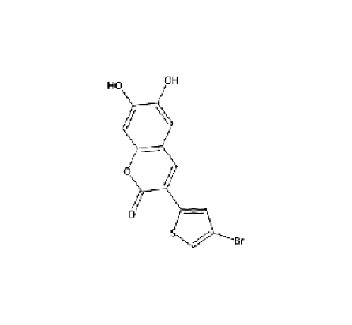 O=c1oc2cc(O)c(O)cc2cc1-c1cc(Br)cs1